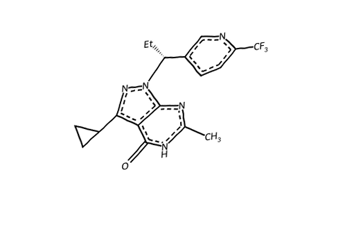 CC[C@H](c1ccc(C(F)(F)F)nc1)n1nc(C2CC2)c2c(=O)[nH]c(C)nc21